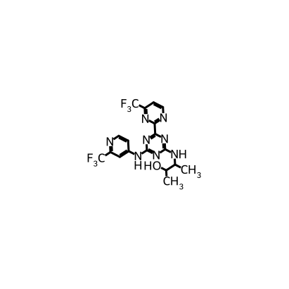 CC(O)C(C)Nc1nc(Nc2ccnc(C(F)(F)F)c2)nc(-c2nccc(C(F)(F)F)n2)n1